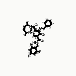 CC1C=CC(C)N2CN1C(=O)c1c(OCc3ccccc3)c(=O)c(C(=O)NCc3c(F)cc(F)cc3F)cn12